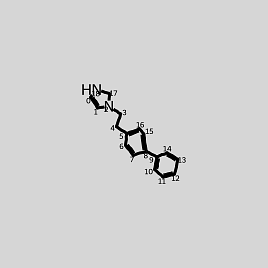 C1=CN(CCc2ccc(-c3ccccc3)cc2)CN1